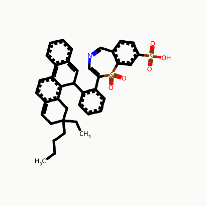 CCCCC1(CC)CC=c2ccc3c(c2C1)C(c1ccccc1C1=CN=Cc2ccc(S(=O)(=O)O)cc2S1(=O)=O)C=c1ccccc1=3